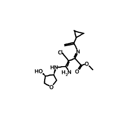 C=C(/N=C(C(=O)OC)\C(Cl)=C(/N)N[C@H]1COC[C@H]1O)C1CC1